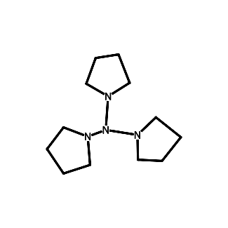 C1CCN(N(N2CCCC2)N2CCCC2)C1